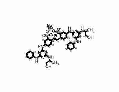 CC(CO)Nc1nc(Nc2ccccc2)nc(Nc2ccc(C=Cc3ccc(Nc4nc(Nc5ccccc5)nc(NC(C)CO)n4)cc3S(=O)(=O)[O-])c(S(=O)(=O)[O-])c2)n1.[Na+].[Na+]